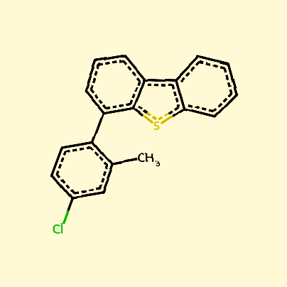 Cc1cc(Cl)ccc1-c1cccc2c1sc1ccccc12